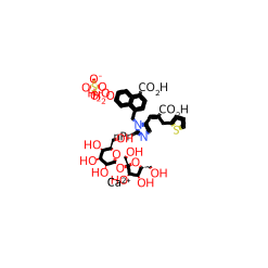 CCCc1ncc(/C=C(\Cc2cccs2)C(=O)O)n1Cc1ccc(C(=O)O)c2ccccc12.O.O.O=S(=O)([O-])[O-].OC[C@H]1O[C@@](CO)(O[C@H]2O[C@H](CO)[C@@H](O)[C@H](O)[C@H]2O)[C@@H](O)[C@@H]1O.[Ca+2]